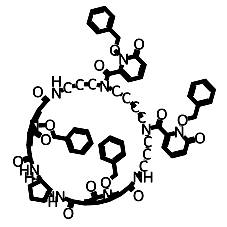 O=C1N[C@H]2CCC[C@H]2NC(=O)c2ccc(n(OCc3ccccc3)c2=O)C(=O)NCCCN(C(=O)c2cccc(=O)n2OCc2ccccc2)CCCCN(C(=O)c2cccc(=O)n2OCc2ccccc2)CCCNC(=O)c2ccc1c(=O)n2OCc1ccccc1